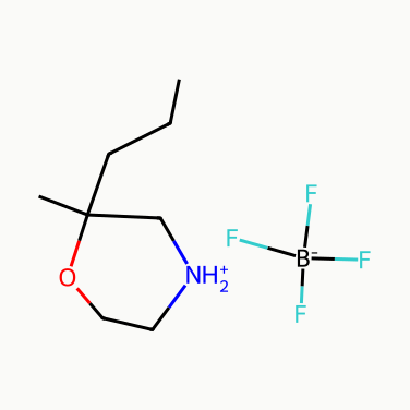 CCCC1(C)C[NH2+]CCO1.F[B-](F)(F)F